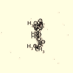 CC1COCCN1C1(C2(c3ccc(NC(=O)Nc4ccc(C(=O)N5CCC(N(C)C)C5)cc4)cc3)C=NC=CS2)CCCOC1